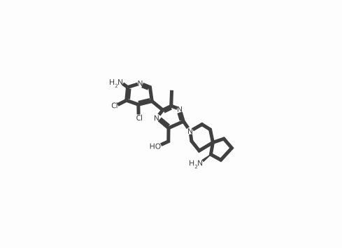 Cc1nc(N2CCC3(CCC[C@H]3N)CC2)c(CO)nc1-c1cnc(N)c(Cl)c1Cl